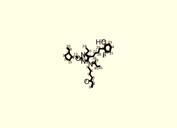 C=CC(=O)CCCCN(c1nc(OC[C@@H]2CCCC2C=C)nc(CC)c1CCCCc1c(O)cccc1F)[C@@H](C)CC